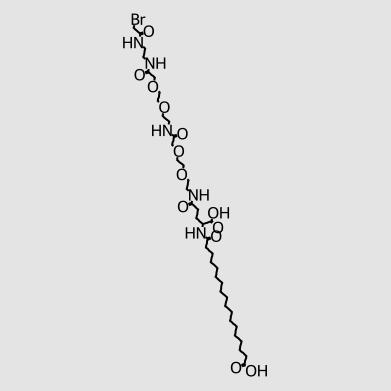 O=C(O)CCCCCCCCCCCCCCCCC(=O)NC(CCC(=O)NCCOCCOCC(=O)NCCOCCOCC(=O)NCCNC(=O)CBr)C(=O)O